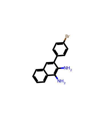 Nc1c(-c2ccc(Br)cc2)cc2ccccc2c1N